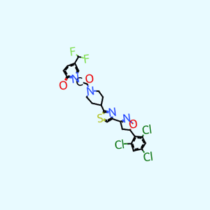 O=C(Cn1cc(C(F)F)ccc1=O)N1CCC(c2nc(C3=NOC(c4c(Cl)cc(Cl)cc4Cl)C3)cs2)CC1